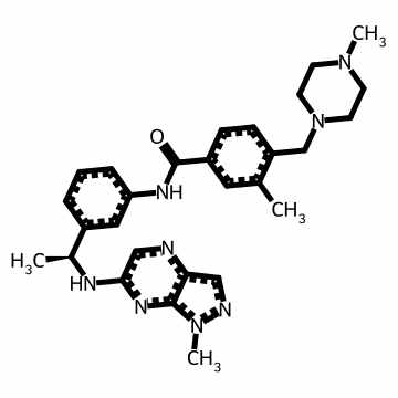 Cc1cc(C(=O)Nc2cccc([C@H](C)Nc3cnc4cnn(C)c4n3)c2)ccc1CN1CCN(C)CC1